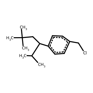 CC(C)C(CC(C)(C)C)c1ccc(CCl)cc1